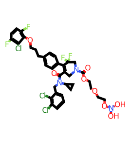 O=C(OCCOCCON(O)O)N1CC(C(=O)N(Cc2cccc(Cl)c2Cl)C2CC2)=C(c2ccc(CCCOc3c(F)ccc(F)c3Cl)cc2)C(F)(F)C1